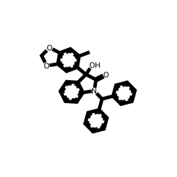 Cc1cc2c(cc1C1(O)C(=O)N(C(c3ccccc3)c3ccccc3)c3ccccc31)OCO2